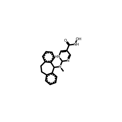 CN(C1N=CC(C(=O)NO)=CN1)C1c2ccccc2CCc2ccccc21